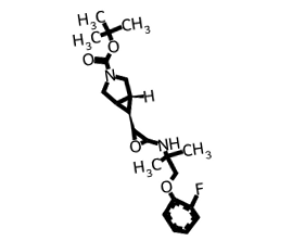 CC(C)(COc1ccccc1F)NC1OC1[C@H]1C2CN(C(=O)OC(C)(C)C)C[C@@H]21